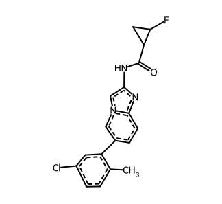 Cc1ccc(Cl)cc1-c1ccc2nc(NC(=O)C3CC3F)cn2c1